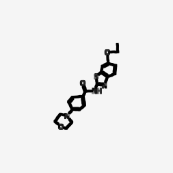 CCOc1ccc2nc(NC(=O)c3ccc(N4CCOCC4)cc3)sc2c1